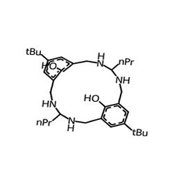 CCCC1NCc2cc(C(C)(C)C)cc(c2O)CNC(CCC)NCc2cc(C(C)(C)C)cc(c2O)CN1